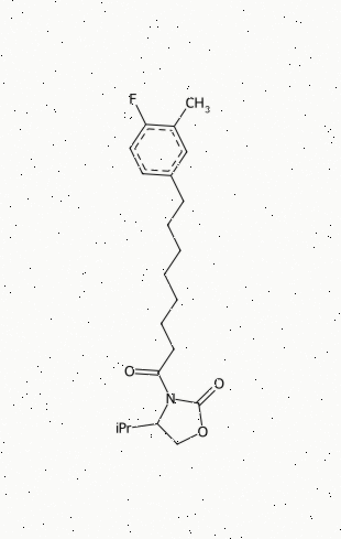 Cc1cc(CCCCCCCC(=O)N2C(=O)OCC2C(C)C)ccc1F